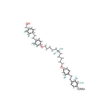 COc1ccc(CCc2ccc(OCCCCCC(F)(F)CCCCCOc3ccc(CCc4ccc(CO)c(F)c4F)c(F)c3)cc2F)c(F)c1F